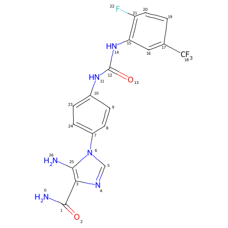 NC(=O)c1ncn(-c2ccc(NC(=O)Nc3cc(C(F)(F)F)ccc3F)cc2)c1N